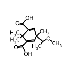 COC(C)C1(C)C=C(C(=O)O)C(C)(C)C(C(=O)O)=C1